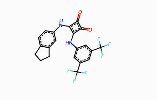 O=c1c(Nc2cc(C(F)(F)F)cc(C(F)(F)F)c2)c(Nc2ccc3c(c2)CCC3)c1=O